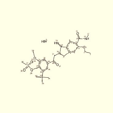 Br.CCOc1cc2c(cc1C(=O)NC)C(=N)N(CC(=O)c1cc(OC)c(OS(C)(=O)=O)c(C(C)(C)C)c1)C2